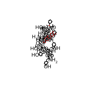 CCCC[C@@H](C(=O)N1C[C@H](O)C[C@@H]1C(=O)N[C@@H](CC(=O)O)C(=O)N[C@H](C(=O)N(C)C(Cc1ccccc1)C(C)=O)C(C)C)N(C)C(=O)C(Cc1ccccc1)N(C)C(=O)[C@H](Cc1cc(F)c(F)c(F)c1)NC(=O)CSC[C@H](NC(=O)[C@H](CCO)NC(=O)[C@H](Cc1ccc(O)cc1)NC(=O)[C@H](Cc1c[nH]c2ccccc12)NC(=O)[C@H]1CCCN1C(=O)[C@@H](N)Cc1ccc(O)cc1)C(=O)NCC(N)=O